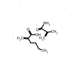 C=C(C)C(N)=O.C=C(CCCC)C(=O)O